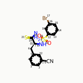 N#Cc1cccc(C[C@H](NS(=O)(=O)c2cccc(Br)c2)C(N)=S)c1